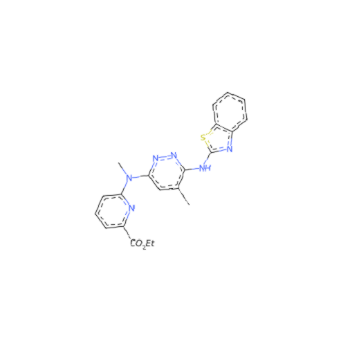 CCOC(=O)c1cccc(N(C)c2cc(C)c(Nc3nc4ccccc4s3)nn2)n1